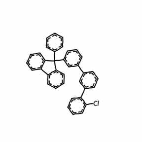 Clc1ccccc1-c1cccc(-c2cccc(C3(c4ccccc4)c4ccccc4-c4ccccc43)c2)c1